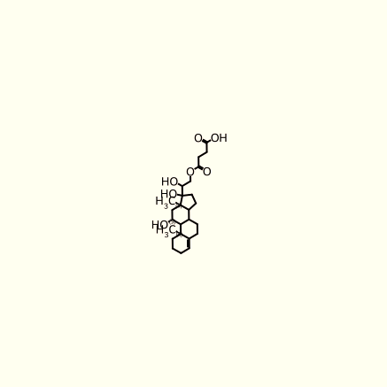 C[C@]12CCCC=C1CCC1C2[C@@H](O)C[C@@]2(C)C1CCC2(O)C(O)COC(=O)CCC(=O)O